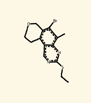 CCSc1ncc2c3c(c(Br)c(C)c2n1)COCC3